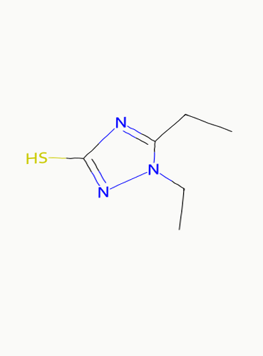 CCc1nc(S)nn1CC